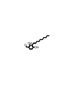 CCCCCCCCC=Cc1c(O)ccc(C=O)c1O